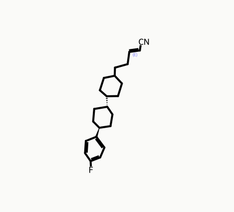 N#C/C=C/CCC1CCC([C@H]2CC[C@H](c3ccc(F)cc3)CC2)CC1